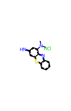 CN(C)c1cc(=N)cc2sc3ccccc3nc1-2.Cl